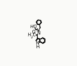 CC(=NN(Cc1ccccc1)C(=O)O)c1c[nH]c2ccccc12